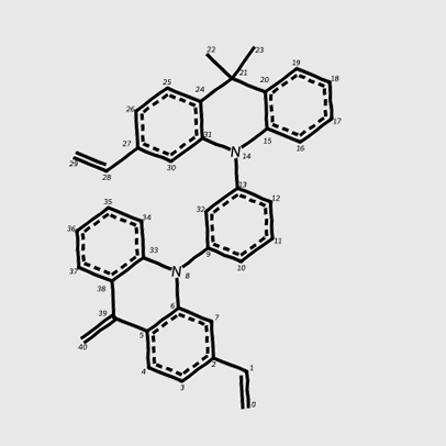 C=Cc1ccc2c(c1)N(c1cccc(N3c4ccccc4C(C)(C)c4ccc(C=C)cc43)c1)c1ccccc1C2=C